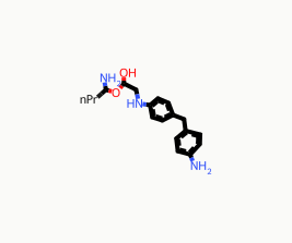 CCCC(N)OC(O)CNc1ccc(Cc2ccc(N)cc2)cc1